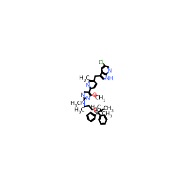 COc1nc(N(C)C(C)CCO[Si](c2ccccc2)(c2ccccc2)C(C)(C)C)ncc1-c1ccc(Cc2c[nH]c3ncc(Cl)cc23)c(C)n1